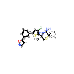 CC1(C)SC[C@@](C)(c2sc(-c3cccc(-c4ccno4)c3)cc2Cl)NC1=N